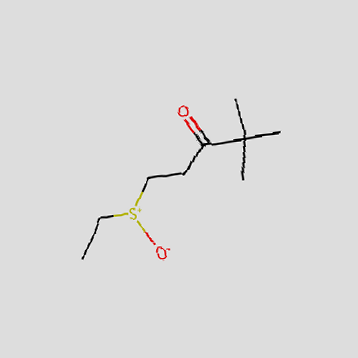 CC[S+]([O-])CCC(=O)C(C)(C)C